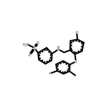 Cc1cc(F)ccc1Oc1ccc(Cl)cc1CNc1cccc(S(N)(=O)=O)c1